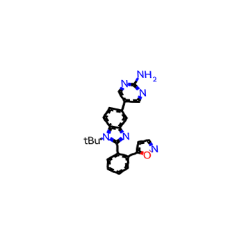 CC(C)(C)n1c(-c2ccccc2-c2ccno2)nc2cc(-c3cnc(N)nc3)ccc21